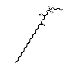 CCCCCCCC/C=C/C/C=C/CCCCC(=O)OC[C@@H](O)COP(=O)(O)OCCN